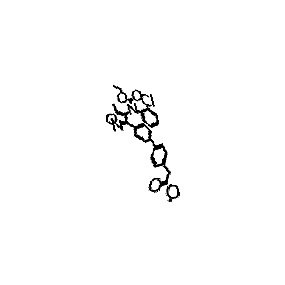 CCOC(=O)N(c1ccccc1Cl)c1c(-c2ccc(-c3ccc(CC(=O)OC)cc3)cc2)noc1C